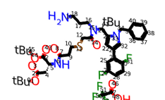 CC(C)(C)OC(=O)C[C@@H](NC(=O)CCSCC(=O)N(CCCN)[C@@H](c1cc(-c2cc(F)ccc2F)cn1Cc1ccccc1)C(C)(C)C)C(=O)OC(C)(C)C.O=C(O)C(F)(F)F